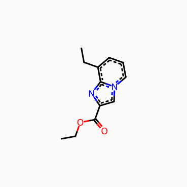 CCOC(=O)c1cn2cccc(CC)c2n1